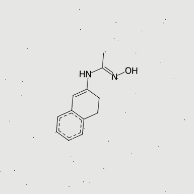 CC(=NO)NC1=Cc2ccccc2CC1